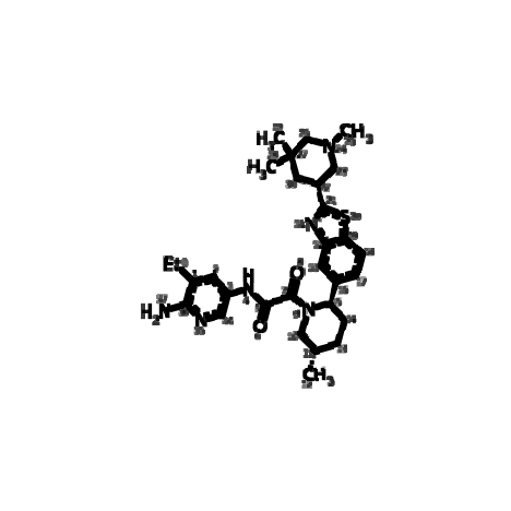 CCc1cc(NC(=O)C(=O)N2C[C@@H](C)CC[C@@H]2c2ccc3sc([C@@H]4CN(C)CC(C)(C)C4)nc3c2)cnc1N